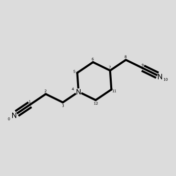 N#CCCN1CCC(CC#N)CC1